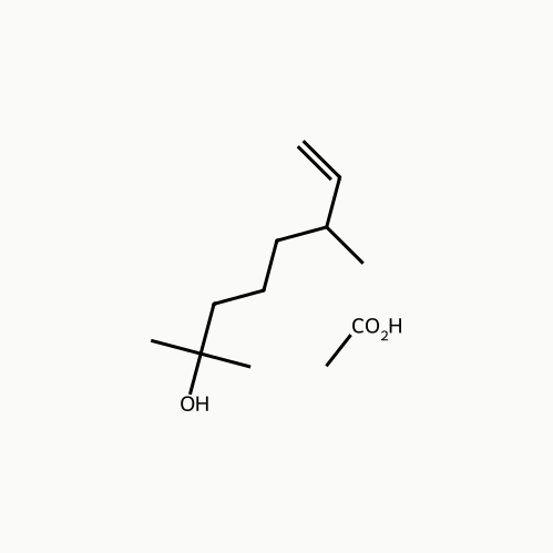 C=CC(C)CCCC(C)(C)O.CC(=O)O